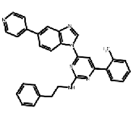 Cc1ccccc1-c1cc(-n2cnc3cc(-c4ccncc4)ccc32)nc(NCCc2ccccc2)n1